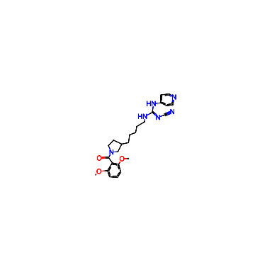 COc1cccc(OC)c1C(=O)N1CCC(CCCCCNC(=NC#N)Nc2ccncc2)C1